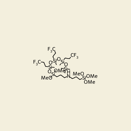 CO[Si](CCCNCCC[Si](OC)(OC)O[Si](C)(CCC(F)(F)F)O[Si](C)(CCC(F)(F)F)O[Si](C)(CCC(F)(F)F)O[Si](C)(C)C)(OC)OC